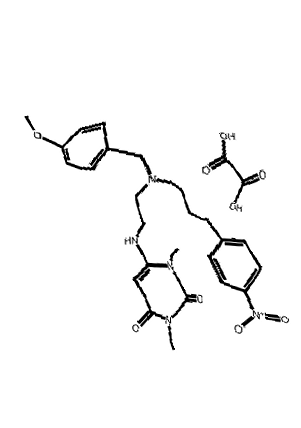 COc1ccc(CN(CCCc2ccc([N+](=O)[O-])cc2)CCNc2cc(=O)n(C)c(=O)n2C)cc1.O=C(O)C(=O)O